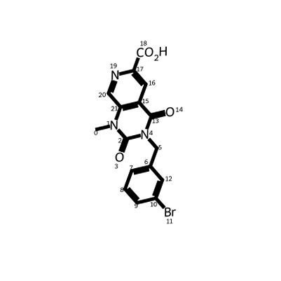 Cn1c(=O)n(Cc2cccc(Br)c2)c(=O)c2cc(C(=O)O)ncc21